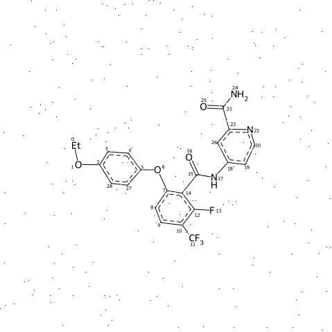 CCOc1ccc(Oc2ccc(C(F)(F)F)c(F)c2C(=O)Nc2ccnc(C(N)=O)c2)cc1